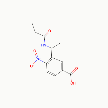 CCC(=O)NC(C)c1cc(C(=O)O)ccc1[N+](=O)[O-]